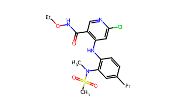 CCONC(=O)c1cnc(Cl)cc1Nc1ccc(C(C)C)cc1N(C)S(C)(=O)=O